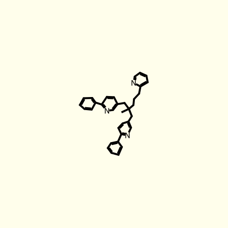 CC(CCCc1ccccn1)(Cc1ccc(-c2ccccc2)nc1)Cc1ccc(-c2ccccc2)nc1